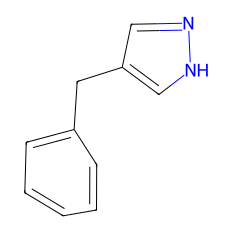 c1ccc(Cc2cn[nH]c2)cc1